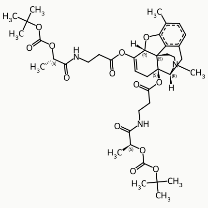 Cc1ccc2c3c1O[C@H]1C(OC(=O)CCNC(=O)[C@H](C)OC(=O)OC(C)(C)C)=CC[C@@]4(OC(=O)CCNC(=O)[C@H](C)OC(=O)OC(C)(C)C)[C@@H](C2)N(C)CC[C@]314